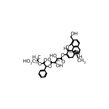 C[C@H](OC(=O)[C@@H](OC(=O)[C@H](O)[C@@H](O)C(=O)OC1=CC[C@@]2(O)[C@H]3Cc4ccc(CO)c5c4[C@@]2(CCN3C)[C@H]1O5)c1ccccc1)C(=O)O